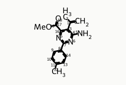 C=C(C)c1c(N)nc(-c2ccc(C)cc2)nc1C(=O)OC